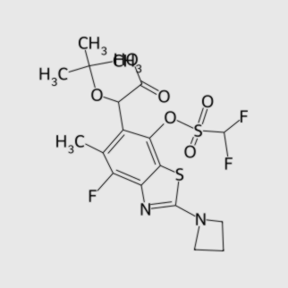 Cc1c(C(OC(C)(C)C)C(=O)O)c(OS(=O)(=O)C(F)F)c2sc(N3CCC3)nc2c1F